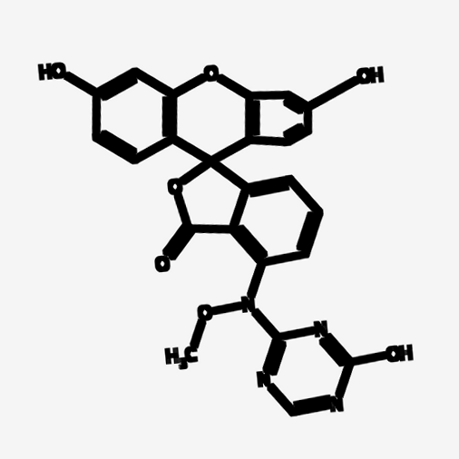 CON(c1ncnc(O)n1)c1cccc2c1C(=O)OC21c2ccc(O)cc2Oc2cc(O)ccc21